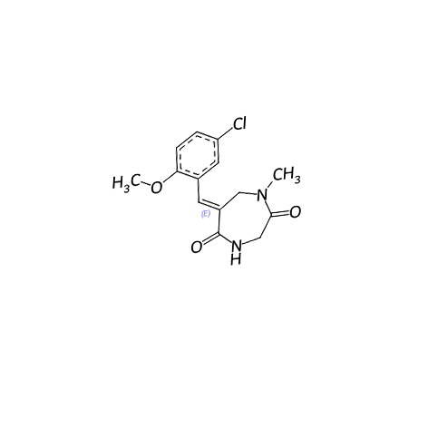 COc1ccc(Cl)cc1/C=C1\CN(C)C(=O)CNC1=O